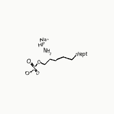 CCCCCCCCCCCCOS(=O)(=O)[O-].F.N.[Na+]